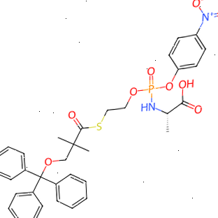 C[C@H](NP(=O)(OCCSC(=O)C(C)(C)COC(c1ccccc1)(c1ccccc1)c1ccccc1)Oc1ccc([N+](=O)[O-])cc1)C(=O)O